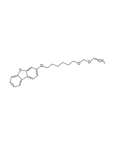 C=COCOCCCCCCOc1ccc2c(c1)sc1ccccc12